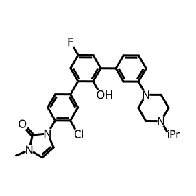 CC(C)N1CCN(c2cccc(-c3cc(F)cc(-c4ccc(-n5ccn(C)c5=O)c(Cl)c4)c3O)c2)CC1